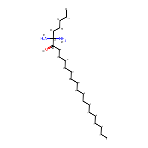 CCCCCCCCCCCCCCCCCC(=O)C(N)(N)CCCCC